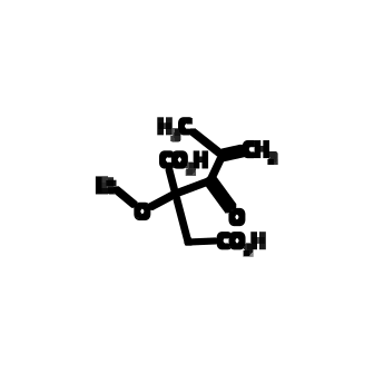 C=C(C)C(=O)C(CC(=O)O)(OCC)C(=O)O